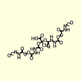 CC(OC(=O)NNC(=O)OOC(=O)NN=C=O)(OC(=O)NNC(=O)OOC(=O)NN=C=O)C(=O)O